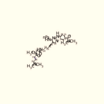 CCCNc1nc(Nc2ccc(C(=O)N(C)C)cc2)ncc1C#CCCCNC(=O)CN(C)C(=O)/C=C/CN(C)C